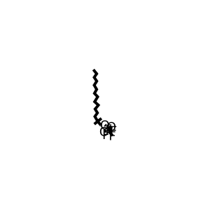 CCCCCCCCCCCCCC(C)(C)COS(=O)(=O)C(F)(F)F